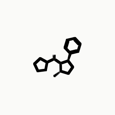 C[C@H]1CC[C@H](c2ccccc2)P1NC1CCCC1